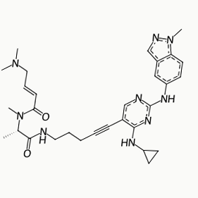 C[C@@H](C(=O)NCCCC#Cc1cnc(Nc2ccc3c(cnn3C)c2)nc1NC1CC1)N(C)C(=O)/C=C/CN(C)C